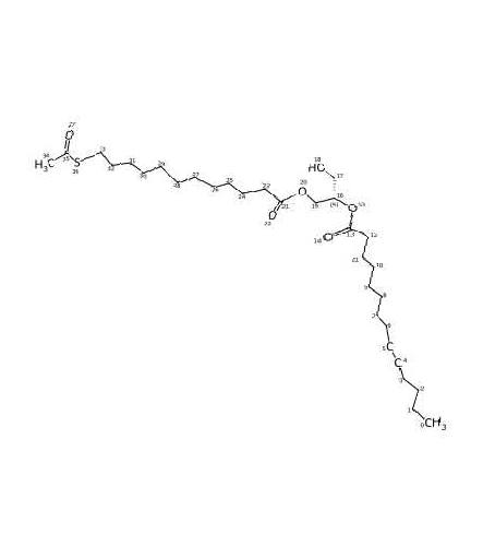 CCCCCCCCCCCCCC(=O)O[C@@H](CO)COC(=O)CCCCCCCCCCCSC(C)=O